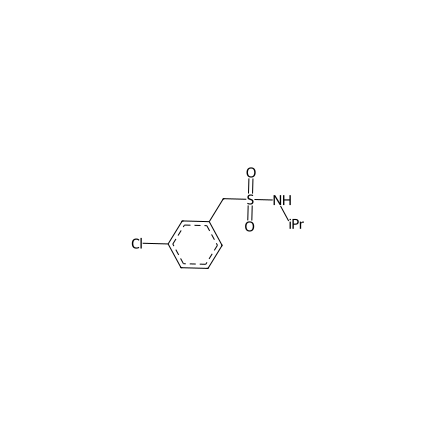 CC(C)NS(=O)(=O)Cc1cccc(Cl)c1